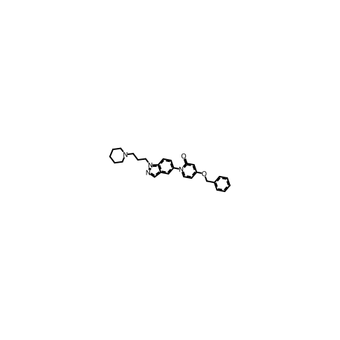 O=c1cc(OCc2ccccc2)ccn1-c1ccc2c(cnn2CCCN2CCCCC2)c1